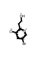 OCCc1ncc(Br)cc1Cl